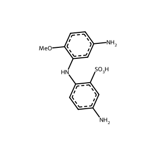 COc1ccc(N)cc1Nc1ccc(N)cc1S(=O)(=O)O